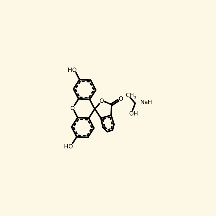 CCO.O=C1OC2(c3ccc(O)cc3Oc3cc(O)ccc32)c2ccccc21.[NaH]